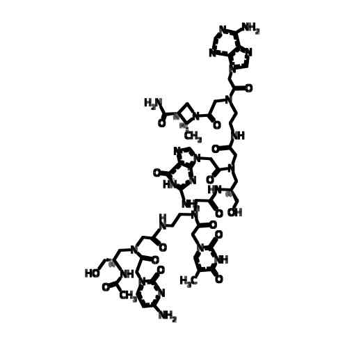 CC(=O)N[C@H](CO)CN(CC(=O)NCCN(CC(=O)N[C@H](CO)CN(CC(=O)NCCN(CC(=O)N1C[C@H](C(N)=O)[C@H]1C)C(=O)Cn1cnc2c(N)ncnc21)C(=O)Cn1cnc2c(=O)[nH]c(N)nc21)C(=O)Cn1cc(C)c(=O)[nH]c1=O)C(=O)Cn1ccc(N)nc1=O